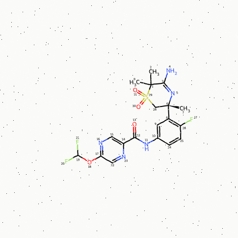 CC1(C)C(N)=N[C@](C)(c2cc(NC(=O)c3cnc(OC(F)F)cn3)ccc2F)CS1(=O)=O